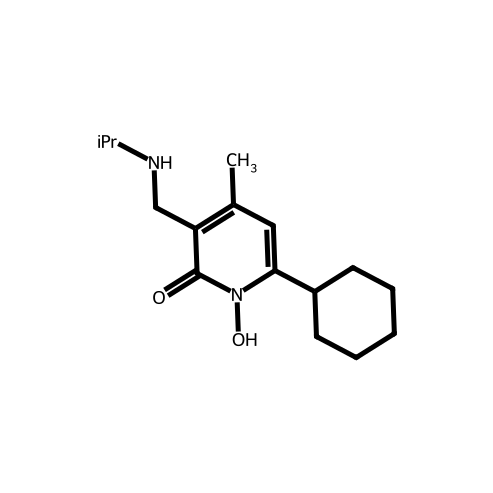 Cc1cc(C2CCCCC2)n(O)c(=O)c1CNC(C)C